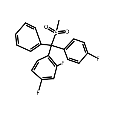 CS(=O)(=O)C(c1ccccc1)(c1ccc(F)cc1)c1ccc(F)cc1F